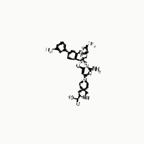 Cc1cccc(-c2ccc([C@@H](Oc3cc(N4CCC5(CC4)CNC(C(=O)O)C5)nc(N)n3)C(F)(F)F)c(-n3ccc(C)n3)c2)c1